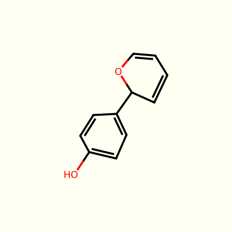 Oc1ccc(C2C=CC=CO2)cc1